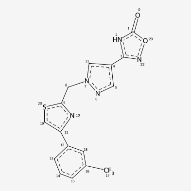 O=c1[nH]c(-c2cnn(Cc3nc(-c4cccc(C(F)(F)F)c4)cs3)c2)no1